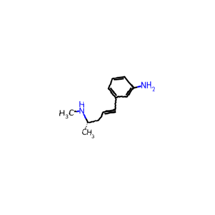 CN[C@@H](C)CC=Cc1cccc(N)c1